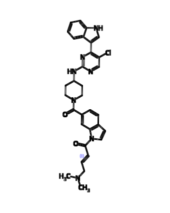 CN(C)C/C=C/C(=O)n1ccc2ccc(C(=O)N3CCC(Nc4ncc(Cl)c(-c5c[nH]c6ccccc56)n4)CC3)cc21